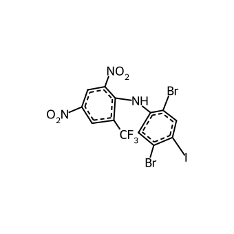 O=[N+]([O-])c1cc([N+](=O)[O-])c(Nc2cc(Br)c(I)cc2Br)c(C(F)(F)F)c1